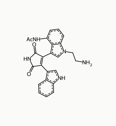 CC(=O)Nc1cccc2c1c(C1=C(c3c[nH]c4ccccc34)C(=O)NC1=O)cn2CCN